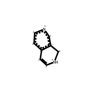 C1=Cc2ccncc2CN1